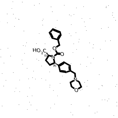 O=C(O)[C@@H]1CC[C@H](c2ccc(CN3CCOCC3)cc2)N1C(=O)OCc1ccccc1